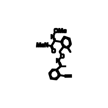 C#Cc1ccccc1/C(C)=N/OCc1c(C)cccc1/C(=N\OC)C(=O)NC